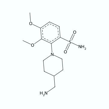 COc1ccc(S(N)(=O)=O)c(N2CCC(CN)CC2)c1OC